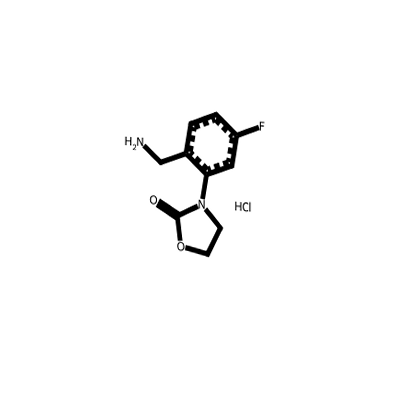 Cl.NCc1ccc(F)cc1N1CCOC1=O